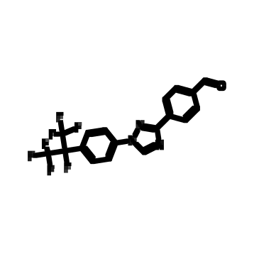 O=Cc1ccc(-c2ncn(-c3ccc(C(F)(C(F)(F)F)C(F)(F)F)cc3)n2)cc1